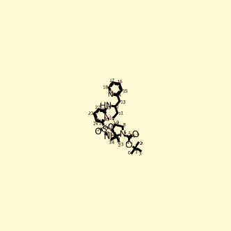 CC(C)(C)OC(=O)N1C[C@@H](CCC(Cc2ccccn2)Nc2cccc(S(N)(=O)=O)n2)CC1(C)C